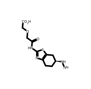 CCCN[C@H]1CCc2nc(NC(=O)COCC(=O)O)sc2C1